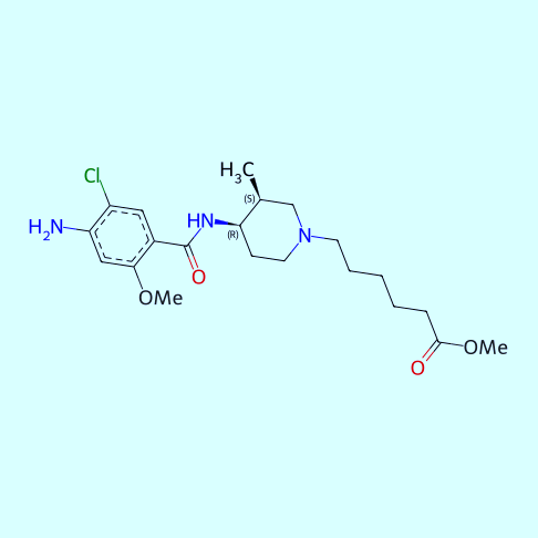 COC(=O)CCCCCN1CC[C@@H](NC(=O)c2cc(Cl)c(N)cc2OC)[C@@H](C)C1